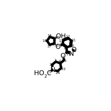 O=C(O)N1CCC(COc2noc3cccc(O[C@@H]4CCC[C@@H]4O)c23)CC1